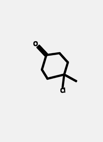 CC1(Cl)CCC(=O)CC1